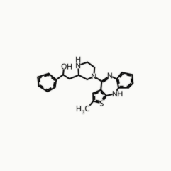 Cc1cc2c(s1)Nc1ccccc1N=C2N1CCNC(CC(O)c2ccccc2)C1